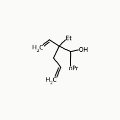 C=CCC(C=C)(CC)C(O)CCC